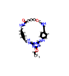 O=C1CCCOCNCc2ccc(cc2)Nc2nc(nc(OCC(F)(F)F)n2)NCc2ccc(cc2)CN1